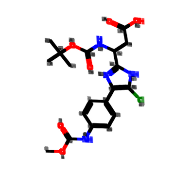 COC(=O)Nc1ccc(-c2nc(C(CC(=O)O)NC(=O)OC(C)(C)C)[nH]c2Cl)cc1